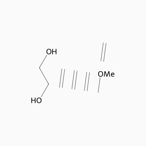 C=C.C=C.C=C.C=C.COC.OCCO